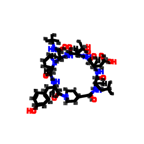 CC(C)C[C@@H]1NC(=O)C2CCN(CC2)C(=O)[C@H](Cc2ccc(O)cc2)NC(=O)[C@@H]2CCCN2[C@H](C(=O)NC(C)(C)C)NC(=O)[C@H]([C@@H](C)O)NC(=O)[C@H](CC(=O)O)NC1=O